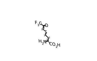 N[C@@H](CCSCC(=O)C(F)(F)F)C(=O)O